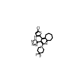 FC1(F)CCN(c2nc3c(c(-c4ccc(Cl)s4)c2-c2nnn[nH]2)CCCCC3)CC1